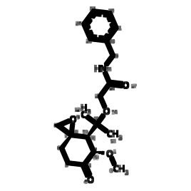 CO[C@@H]1C(=O)CC[C@]2(CO2)[C@H]1C(C)(C)OCC(=O)NCc1ccccc1